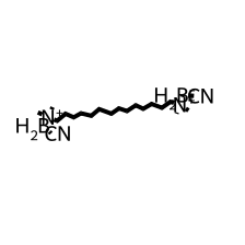 C[N+](C)([BH2-]C#N)CCCCCCCCCCCCCC[N+](C)(C)[BH2-]C#N